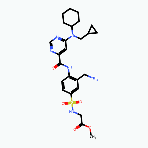 COC(=O)CNS(=O)(=O)c1ccc(NC(=O)c2cc(N(CC3CC3)C3CCCCC3)ncn2)c(CN)c1